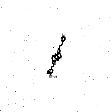 CCCCCc1ccc(CCc2cc3ccc4cc5c(ccc6cc(CCc7ccc(CC)cc7)sc65)cc4c3s2)cc1